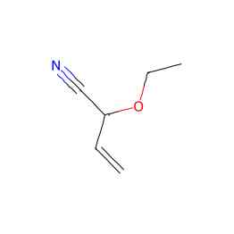 C=C[C](C#N)OCC